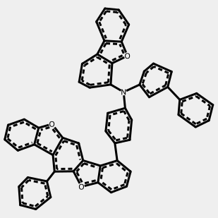 c1ccc(-c2cccc(N(c3ccc(-c4cccc5oc6c(-c7ccccc7)c7c(cc6c45)oc4ccccc47)cc3)c3cccc4c3oc3ccccc34)c2)cc1